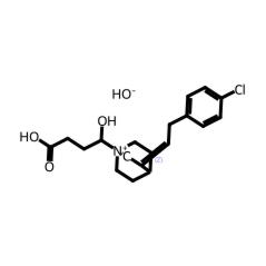 O=C(O)CCC(O)[N+]12CCC(CC1)/C(=C/Cc1ccc(Cl)cc1)C2.[OH-]